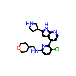 Clc1ccc(NCC2CCOCC2)nc1-c1ccnc2[nH]c(C3CCNC3)cc12